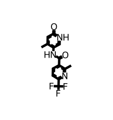 Cc1cc(=O)[nH]cc1NC(=O)c1ccc(C(F)(F)F)nc1C